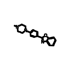 CN1CCN(c2ccc(-c3nc4ccccc4o3)cc2)CC1